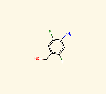 Nc1cc(F)c(CO)cc1F